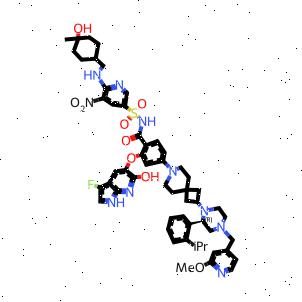 COc1cc(CN2CCN(C3CC4(CCN(c5ccc(C(=O)NS(=O)(=O)c6cnc(NCC7CCC(C)(O)CC7)c([N+](=O)[O-])c6)c(Oc6cc7c(F)c[nH]c7nc6O)c5)CC4)C3)[C@H](c3ccccc3C(C)C)C2)ccn1